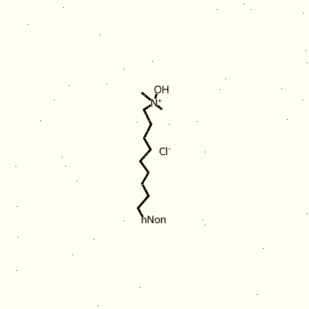 CCCCCCCCCCCCCCCCCC[N+](C)(C)O.[Cl-]